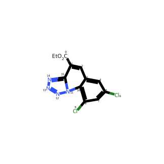 CCOC(=O)c1cc2cc(Cl)cc(Cl)c2n2nnnc12